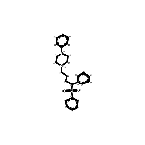 O=S(=O)(c1ccccc1)C(CCCN1CCN(c2ccccc2)CC1)c1ccccc1